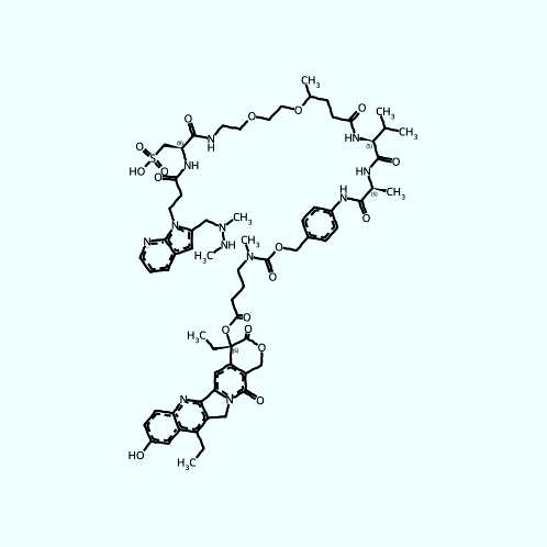 CCc1c2c(nc3ccc(O)cc13)-c1cc3c(c(=O)n1C2)COC(=O)[C@@]3(CC)OC(=O)CCCN(C)C(=O)OCc1ccc(NC(=O)[C@H](C)NC(=O)[C@@H](NC(=O)CCC(C)OCCOCCNC(=O)[C@H](CS(=O)(=O)O)NC(=O)CCn2c(CN(C)NC)cc3cccnc32)C(C)C)cc1